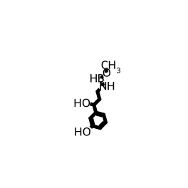 COBNCCC(O)c1cccc(O)c1